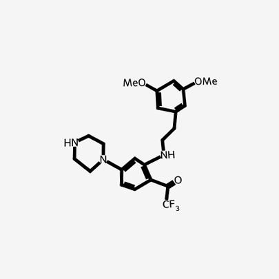 COc1cc(CCNc2cc(N3CCNCC3)ccc2C(=O)C(F)(F)F)cc(OC)c1